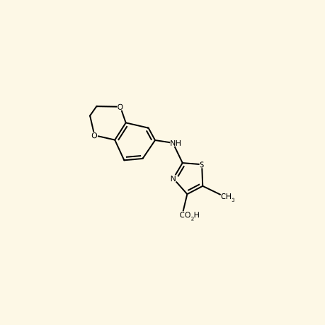 Cc1sc(Nc2ccc3c(c2)OCCO3)nc1C(=O)O